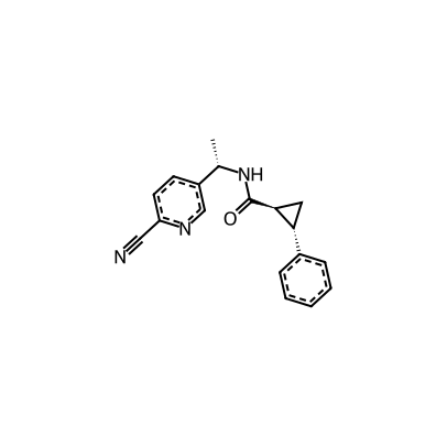 C[C@H](NC(=O)[C@H]1C[C@@H]1c1ccccc1)c1ccc(C#N)nc1